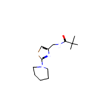 CC(C)(C)C(=O)NCc1csc(N2CCCCC2)n1